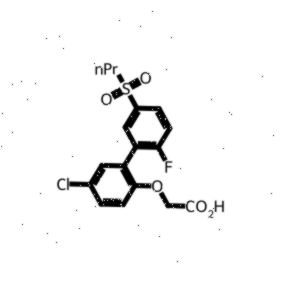 CCCS(=O)(=O)c1ccc(F)c(-c2cc(Cl)ccc2OCC(=O)O)c1